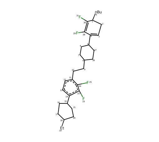 CCCCC1CC=C(C2CCC(CCc3ccc(C4CCC(CC)CC4)c(F)c3F)CC2)C(F)=C1F